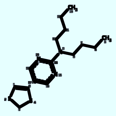 C1=CSCS1.CCCCN(CCCC)c1ncncn1